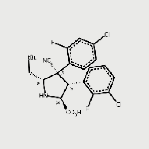 CC(C)(C)C[C@H]1N[C@H](C(=O)O)[C@@H](c2cccc(Cl)c2F)[C@]1(C#N)c1ccc(Cl)cc1F